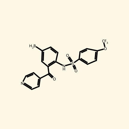 Bc1ccc(NS(=O)(=O)c2ccc(OC(F)(F)F)cc2)c(C(=O)c2ccncc2)c1